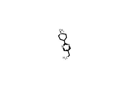 CCc1cnc(C2CCN(C)CC2)nc1